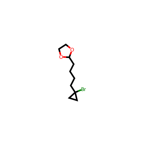 BrC1(CCCCC2OCCO2)CC1